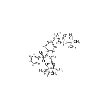 CC(C)(C)OC(=O)C(C)(C)Cc1cc2cc(B3OC(C)(C)C(C)(C)O3)n(S(=O)(=O)c3ccccc3)c2cn1